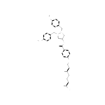 COc1ccc(CN2CC(NC(=O)c3ccc(OC/C=C(\C)CCC=C(C)C)cc3)CN2Cc2ccc(OC)cc2)cc1